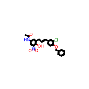 CC(=O)Nc1cc(CC=Cc2ccc(OCc3ccccc3)c(Cl)c2)c(O)c([N+](=O)[O-])c1